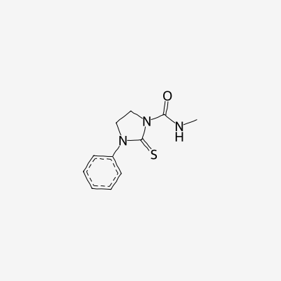 CNC(=O)N1CCN(c2ccccc2)C1=S